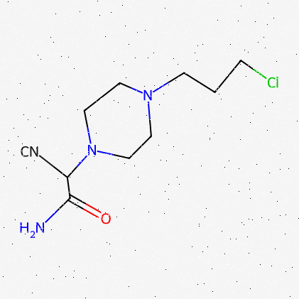 [C-]#[N+]C(C(N)=O)N1CCN(CCCCl)CC1